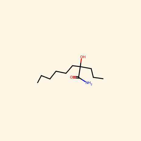 CCCCCCC(O)(CCC)C(N)=O